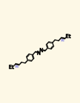 CC/C=C/CCc1ccc(C=NN=Cc2ccc(CC/C=C/CC)cc2)cc1